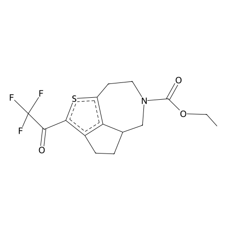 CCOC(=O)N1CCc2sc(C(=O)C(F)(F)F)c3c2C(CC3)C1